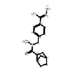 CN(Cc1ccc(/C(N)=N/O)cc1)C(=O)C1CC2CCC1C2